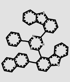 c1ccc(-c2nc(-c3c(-c4ccc5ccccc5c4)ccc4oc5ccccc5c34)nc(-c3cccc4sc5ccccc5c34)n2)cc1